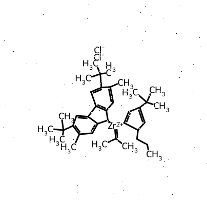 CCCC1C=C(C(C)(C)C)C=[C]1[Zr+2](=[C](C)C)[CH]1c2cc(C)c(C(C)(C)C)cc2-c2cc(C(C)(C)C)c(C)cc21.[Cl-].[Cl-]